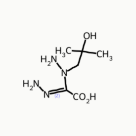 CC(C)(O)CN(N)/C(=N\N)C(=O)O